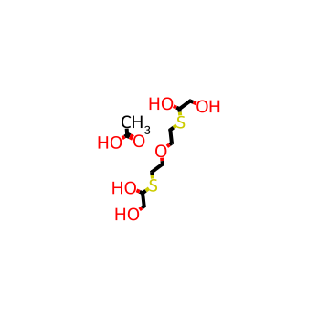 CC(=O)O.OCC(O)SCCOCCSC(O)CO